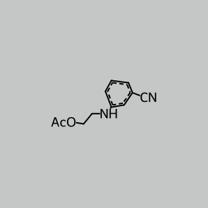 CC(=O)OCCNc1cccc(C#N)c1